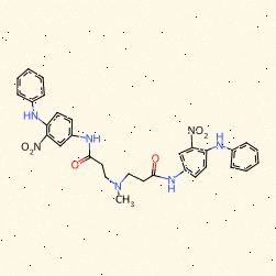 CN(CCC(=O)Nc1ccc(Nc2ccccc2)c([N+](=O)[O-])c1)CCC(=O)Nc1ccc(Nc2ccccc2)c([N+](=O)[O-])c1